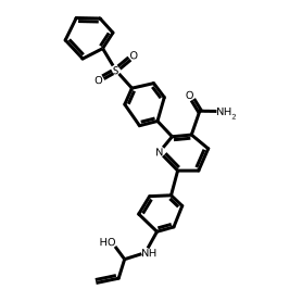 C=CC(O)Nc1ccc(-c2ccc(C(N)=O)c(-c3ccc(S(=O)(=O)c4ccccc4)cc3)n2)cc1